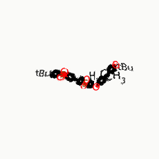 CC(C)(C)Oc1ccc(C(C)(C)c2ccc(Oc3ccc(S(=O)(=O)c4ccc(-c5ccc(S(=O)(=O)c6ccc(C(C)(C)C)cc6)cc5)cc4)cc3)cc2)cc1